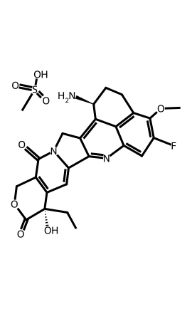 CC[C@@]1(O)C(=O)OCc2c1cc1n(c2=O)Cc2c-1nc1cc(F)c(OC)c3c1c2[C@@H](N)CC3.CS(=O)(=O)O